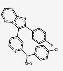 O=CN(c1ccc(Cl)cc1)c1cc(-c2c(-c3ccc(F)cc3)nc3cccnn23)ccn1